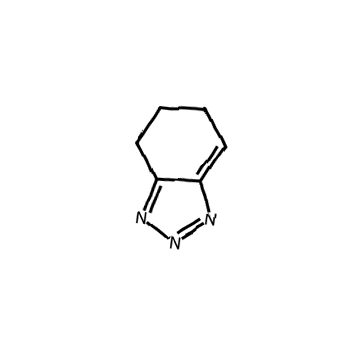 C1=C2N=NN=C2CCC1